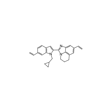 C=Cc1cc2c3c(c1)nc(-c1cc4ccc(C=C)cc4n1CC1CC1)n3CCC2